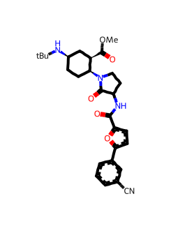 COC(=O)[C@@H]1C[C@H](NC(C)(C)C)CC[C@@H]1N1CCC(NC(=O)c2ccc(-c3cccc(C#N)c3)o2)C1=O